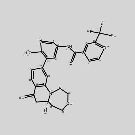 Cc1ncc(NC(=O)c2ccnc(C(F)(F)F)c2)cc1-c1ccc2c(c1)N1CCOCC[C@H]1CC2=O